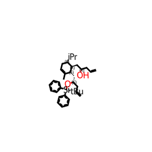 C=CC[C@@H](O)C[C@H]1[C@H](C[C@H](CC=C)O[Si](c2ccccc2)(c2ccccc2)C(C)(C)C)C(C)=CC[C@H]1C(C)C